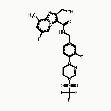 CCc1nc2c(C)cc(F)cn2c1C(=O)NCc1ccc(N2CCN(S(=O)(=O)C(F)(F)F)C=N2)c(F)c1